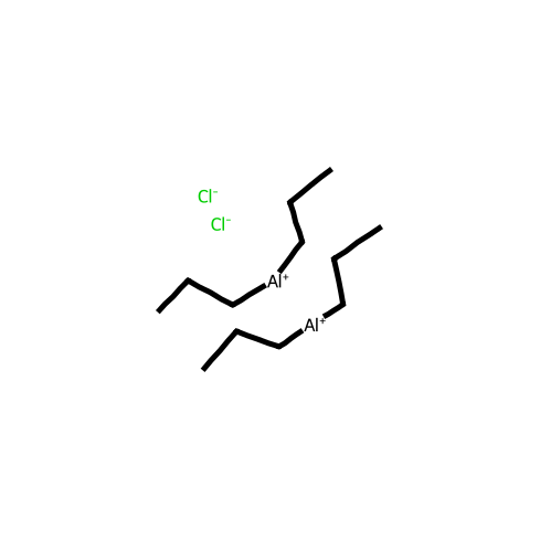 CC[CH2][Al+][CH2]CC.CC[CH2][Al+][CH2]CC.[Cl-].[Cl-]